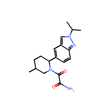 CC1CCC(c2ccc3nn(C(C)C)cc3c2)N(C(=O)C(N)=O)C1